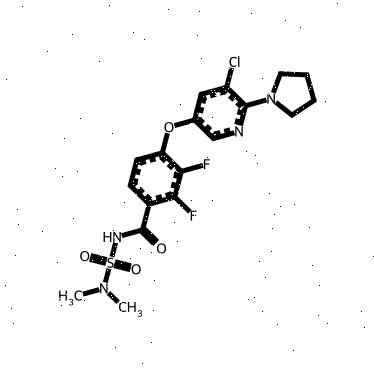 CN(C)S(=O)(=O)NC(=O)c1ccc(Oc2cnc(N3CCCC3)c(Cl)c2)c(F)c1F